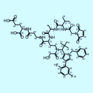 CC(NC(=O)C(NC(=O)CN1C(=O)C=CC1=O)C(C)C)C(=O)NC(CCN(C(=O)CO)C(c1cc(-c2cc(F)ccc2F)cn1Cc1ccccc1)C(C)(C)C)C(=O)NCCC(=O)NC(CCC(=O)O)C(=O)O